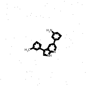 Cc1cccc(-c2c[nH]c3ncc(-c4cccc(N)c4)cc23)c1